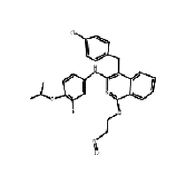 CC(C)Oc1ccc(Nc2nc(OCCN=O)c3ccccc3c2Cc2ccc(Cl)cc2)cc1F